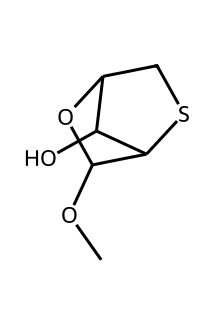 COC1OC2CSC1C2O